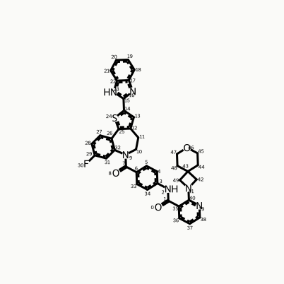 O=C(Nc1ccc(C(=O)N2CCc3cc(-c4nc5ccccc5[nH]4)sc3-c3ccc(F)cc32)cc1)c1cccnc1N1CC2(CCOCC2)C1